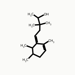 CC1=CCC(C)C(C)C1=CCC(C)(C)C(C)O